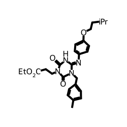 CCOC(=O)CCn1c(=O)[nH]/c(=N\c2ccc(OCCC(C)C)cc2)n(Cc2ccc(C)cc2)c1=O